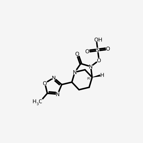 Cc1nc(C2CC[C@@H]3CN2C(=O)N3OS(=O)(=O)O)no1